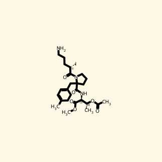 COC(=O)[C@@H](NC(=O)C1(CC2=CC=C(C)CC2)CCCN1C(=O)[C@@H](I)CCCN)[C@@H](C)OC(C)=O